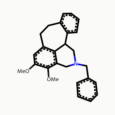 COc1cc2c3c(c1OC)CN(Cc1ccccc1)CC3c1ccccc1CC2